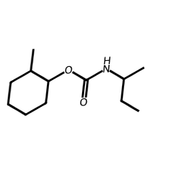 CCC(C)NC(=O)OC1CCCCC1C